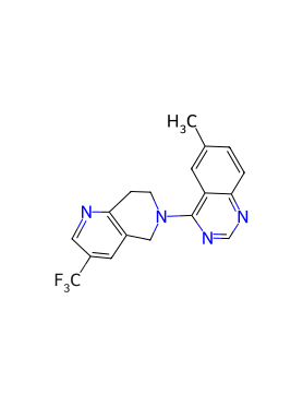 Cc1ccc2ncnc(N3CCc4ncc(C(F)(F)F)cc4C3)c2c1